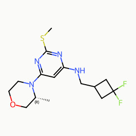 CSc1nc(NCC2CC(F)(F)C2)cc(N2CCOC[C@H]2C)n1